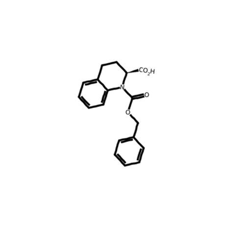 O=C(O)[C@@H]1CCc2ccccc2N1C(=O)OCc1ccccc1